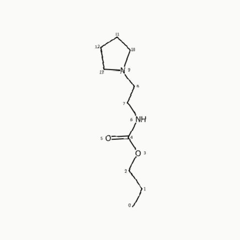 CCCOC(=O)NCCN1CCCC1